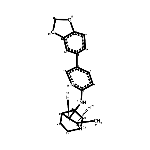 C[C@@H]1[C@@H](Nc2ccc(-c3ccc4c(c3)OCO4)cn2)C2CCN1CC2